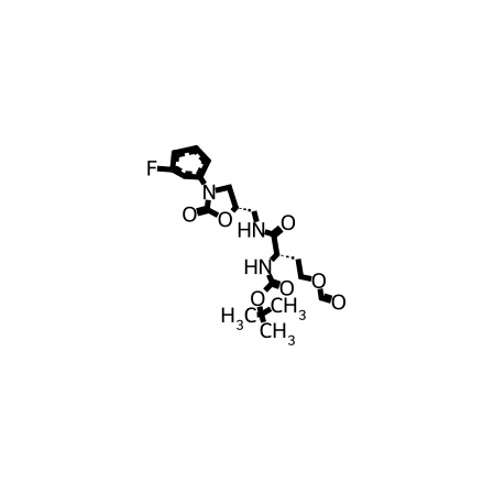 CC(C)(C)OC(=O)N[C@@H](CCOC=O)C(=O)NC[C@H]1CN(c2cccc(F)c2)C(=O)O1